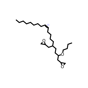 CCCCCCCC/C=C\CCCCC(CCC(CC1CO1)OCCCC)CC1CO1